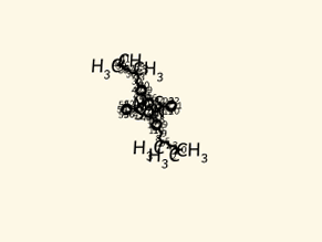 CC(C)CCCC(C)CCc1ccc(C2=C3N=C(c4ccccc4)Sc4cc(-c5ccc(CCC(C)CCCC(C)C)cc5)c5c(c43)C(C2)SC(c2ccccc2)=N5)cc1